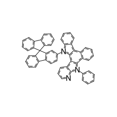 c1ccc(-n2c3ncccc3c3c4c(c5ccccc5c32)c2ccccc2n4-c2ccc3c(c2)C2(c4ccccc4-c4ccccc42)c2ccccc2-3)cc1